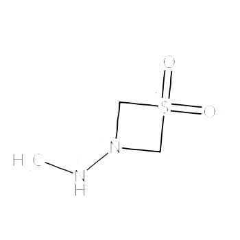 CNN1CS(=O)(=O)C1